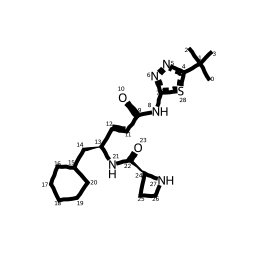 CC(C)(C)c1nnc(NC(=O)C=C[C@H](CC2CCCCC2)NC(=O)[C@@H]2CCN2)s1